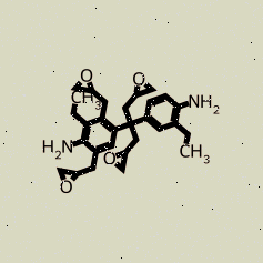 CCc1cc(C(CC2CO2)(CC2CO2)c2cc(CC3CO3)c(N)c(CC)c2CC2CO2)ccc1N